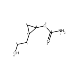 NC(=O)OC1CC1CCO